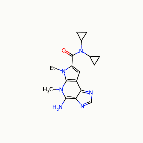 CCn1c(C(=O)N(C2CC2)C2CC2)cc2c3ncnc-3c(N)n(C)c21